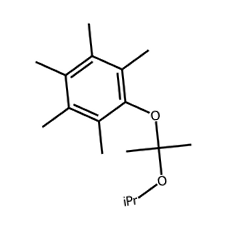 Cc1c(C)c(C)c(OC(C)(C)OC(C)C)c(C)c1C